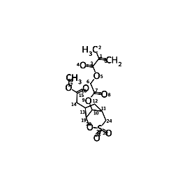 C=C(C)C(=O)OCC(=O)OC1C2CC(CC(=O)OC)C1OS(=O)(=O)C2